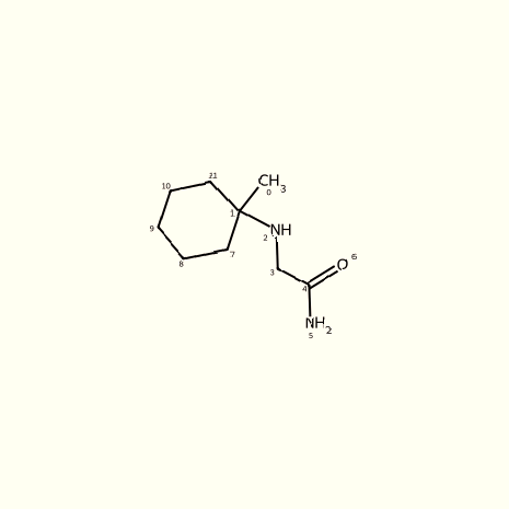 CC1(NCC(N)=O)CCCCC1